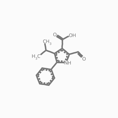 CC(C)c1c(-c2ccccc2)[nH]c(C=O)c1C(=O)O